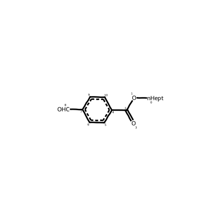 CCCCCCCOC(=O)c1ccc(C=O)cc1